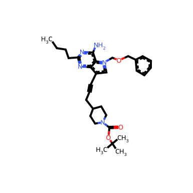 CCCCc1nc(N)c2c(n1)c(C#CCC1CCN(C(=O)OC(C)(C)C)CC1)cn2COCc1ccccc1